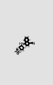 CS(=O)(=O)OC1CCC(Nc2ccc(C#N)c3ccccc23)CC1